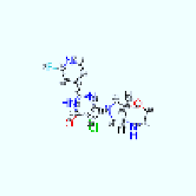 O=c1[nH]c(-c2ccnc(F)c2)nc(N2C[C@H]3NCCO[C@@H]3C2)c1Cl